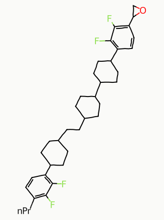 CCCc1ccc(C2CCC(CCC3CCC(C4CCC(c5ccc(C6CO6)c(F)c5F)CC4)CC3)CC2)c(F)c1F